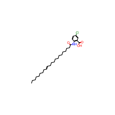 CCCCCCCCC=CCCCCCCCCCCCC(=O)Nc1ccc(Cl)cc1C(=O)O